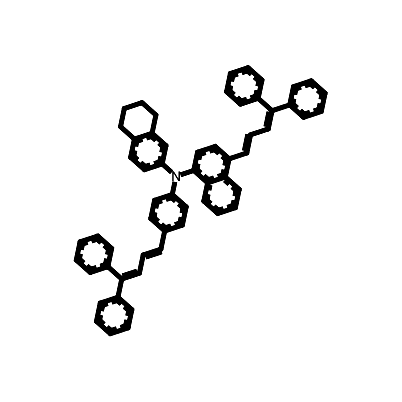 C(/C=C/c1ccc(N(c2ccc3c(c2)CCCC3)c2ccc(/C=C/C=C(c3ccccc3)c3ccccc3)c3ccccc23)cc1)=C(c1ccccc1)c1ccccc1